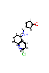 O=C1CC[C@@H](CNC2CCCc3nc(Cl)ccc32)C1